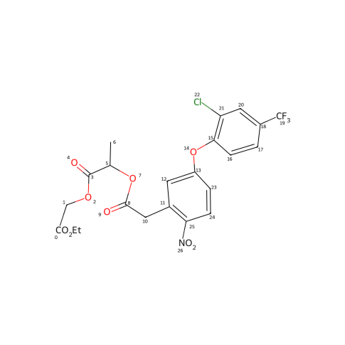 CCOC(=O)COC(=O)C(C)OC(=O)Cc1cc(Oc2ccc(C(F)(F)F)cc2Cl)ccc1[N+](=O)[O-]